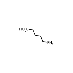 O=C(O)CCCCP